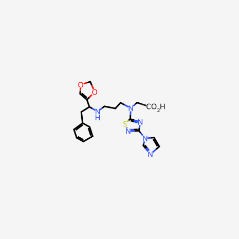 O=C(O)CN(CCCNC(Cc1ccccc1)C1=COCO1)c1nc(-n2ccnc2)ns1